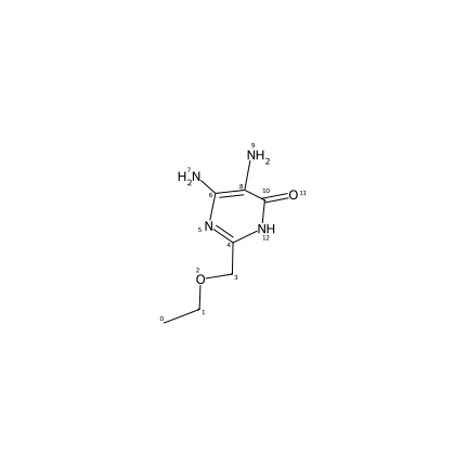 CCOCc1nc(N)c(N)c(=O)[nH]1